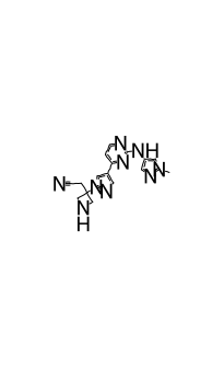 Cn1cc(Nc2nccc(-c3cnn(C4(CC#N)CNC4)c3)n2)cn1